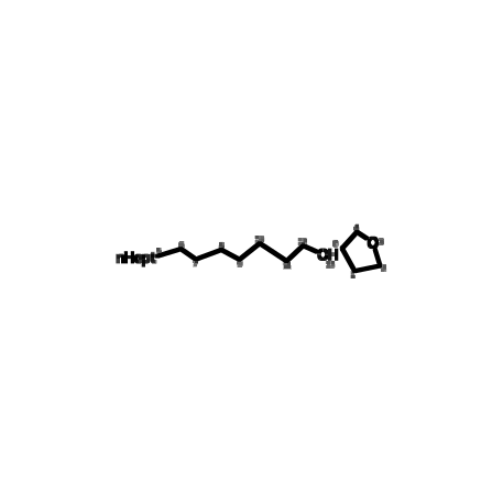 C1CCOC1.CCCCCCCCCCCCCCO